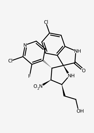 O=C1Nc2cc(Cl)ccc2[C@]12N[C@@H](CCO)[C@@H]([N+](=O)[O-])[C@@H]2c1ccnc(Cl)c1F